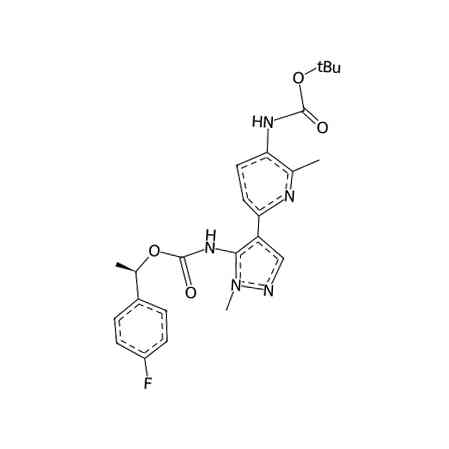 Cc1nc(-c2cnn(C)c2NC(=O)O[C@H](C)c2ccc(F)cc2)ccc1NC(=O)OC(C)(C)C